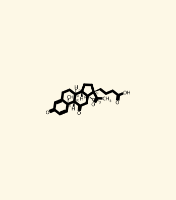 CC(=O)[C@@]1(CCCC(=O)O)CC[C@H]2[C@@H]3CCC4=CC(=O)C=C[C@]4(C)[C@H]3C(=O)C[C@@]21C